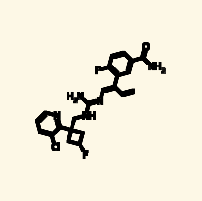 C=C/C(=C\N=C(/N)NC[C@]1(c2ncccc2Cl)C[C@H](F)C1)c1cc(C(N)=O)ccc1F